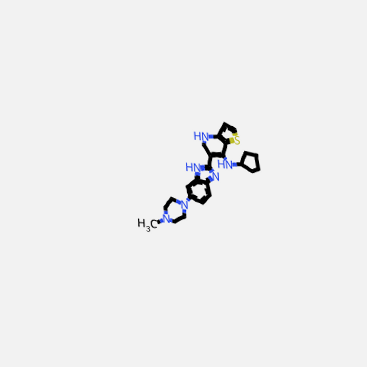 CN1CCN(c2ccc3nc(C4=C(NC5CCCC5)c5sccc5NC4)[nH]c3c2)CC1